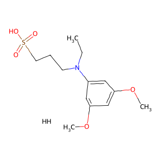 CCN(CCCS(=O)(=O)O)c1cc(OC)cc(OC)c1.[HH]